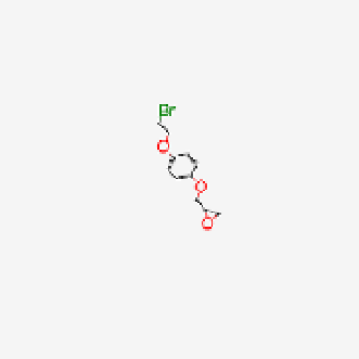 BrCCOc1ccc(OC[C@H]2CO2)cc1